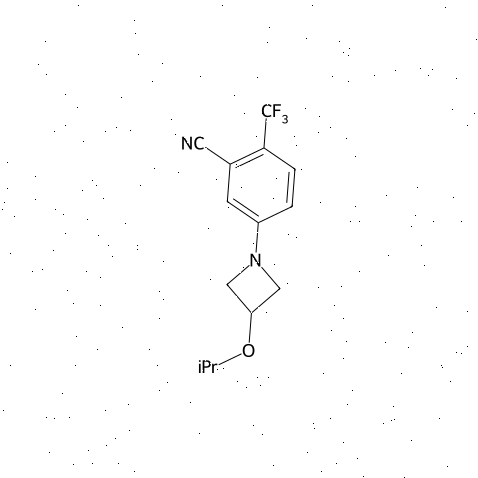 CC(C)OC1CN(c2ccc(C(F)(F)F)c(C#N)c2)C1